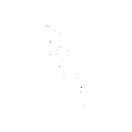 CCCOCCCC(=O)c1ccc(Cc2nccn3c(-c4cn(CC(C)CCC)nc4C(F)(F)F)cnc23)cc1CC